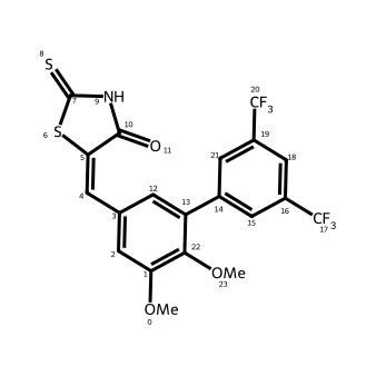 COc1cc(C=C2SC(=S)NC2=O)cc(-c2cc(C(F)(F)F)cc(C(F)(F)F)c2)c1OC